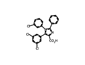 O=C(O)c1nc(-c2ccccc2)n(-c2cccc(Cl)c2)c1-c1cc(Cl)cc(Cl)c1